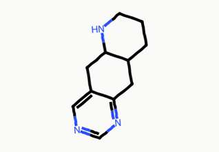 c1ncc2c(n1)CC1CCCNC1C2